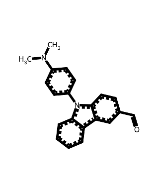 CN(C)c1ccc(-n2c3ccccc3c3cc(C=O)ccc32)cc1